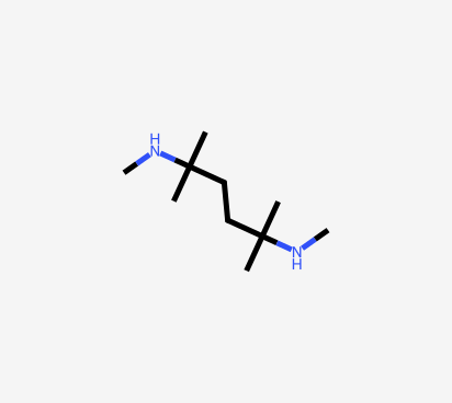 CNC(C)(C)CCC(C)(C)NC